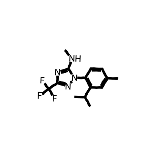 CNc1nc(C(F)(F)F)nn1-c1ccc(C)cc1C(C)C